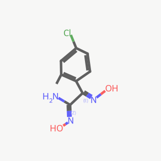 Cc1cc(Cl)ccc1C(=N\O)/C(N)=N/O